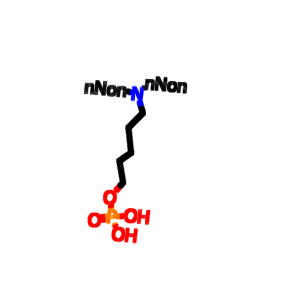 CCCCCCCCCN(CCCCCCCCC)CCCCCOP(=O)(O)O